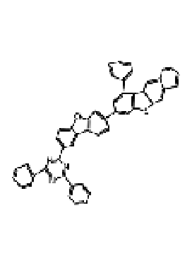 C1=c2ccccc2=CC2c3c(cc(-c4ccc5c(c4)oc4ccc(-c6nc(-c7ccccc7)nc(-c7ccccc7)n6)cc45)cc3-c3ccccc3)SC12